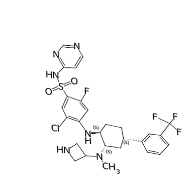 CN(C1CNC1)[C@H]1C[C@@H](c2cccc(C(F)(F)F)c2)CC[C@@H]1Nc1cc(F)c(S(=O)(=O)Nc2ccncn2)cc1Cl